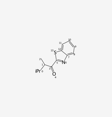 CC(C)C(C)C(=O)c1nc2ccccc2s1